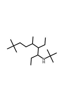 CCC(NC(C)(C)C)C(CC)C(C)CCC(C)(C)C